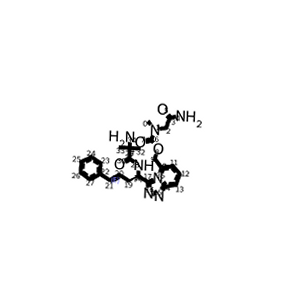 CN(CC(N)=O)C(=O)OCc1cccc2nnc([C@@H](C/C=C/c3ccccc3)NC(=O)C(C)(C)N)n12